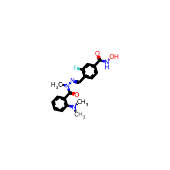 CN(N=Cc1ccc(C(=O)NO)cc1F)C(=O)c1ccccc1N(C)C